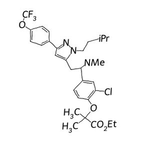 CCOC(=O)C(C)(C)Oc1ccc(C(Cc2cc(-c3ccc(OC(F)(F)F)cc3)nn2CCC(C)C)NC)cc1Cl